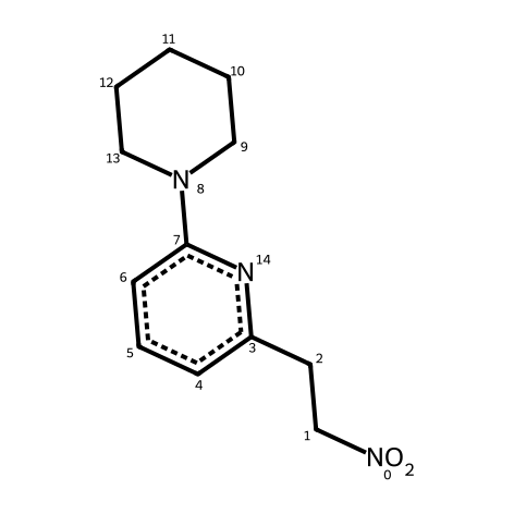 O=[N+]([O-])CCc1cccc(N2CCCCC2)n1